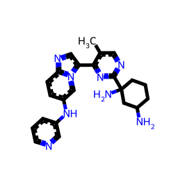 Cc1cnc(C2(N)CCCC(N)C2)nc1-c1cnc2ccc(Nc3cccnc3)cn12